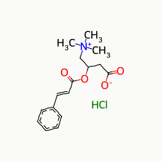 C[N+](C)(C)CC(CC(=O)[O-])OC(=O)C=Cc1ccccc1.Cl